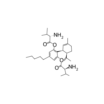 C=C(C)[C@@H]1CCC(C)=C[C@@H]1c1c(OC(=O)[C@@H](N)C(C)C)cc(CCCCC)cc1OC(=O)[C@@H](N)C(C)C